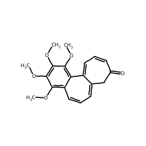 COc1c2c(c(OC)c(OC)c1OC)C1=CC=CC(=O)CC1=CC=C2